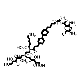 N=C(NCCCCc1ccc(-c2ccc(CCC(=O)N(CCN(C[C@H](O)[C@@H](O)[C@H](O)[C@H](O)CO)C[C@H](O)[C@@H](O)[C@H](O)[C@H](O)CO)[C@@H](CCCCN)C(=O)O)cc2)cc1)NC(=O)c1nc(Cl)c(N)nc1N